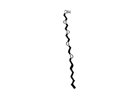 C=CCCCC=CCOCCOCCOCCOCCO